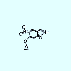 Cn1cc2cc([N+](=O)[O-])c(OC3CC3)cc2n1